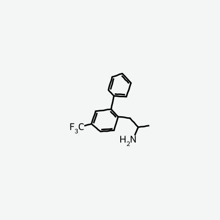 CC(N)Cc1ccc(C(F)(F)F)cc1-c1ccccc1